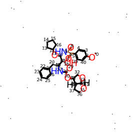 COc1ccc(S(=O)(=O)NC(OC2CCCC2)[C@H](O)[C@H](Cc2ccccc2)NC(=O)O[C@H]2CO[C@H]3OCC[C@H]32)cc1